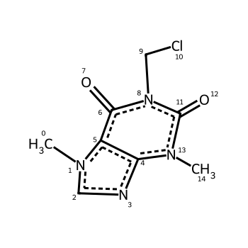 Cn1cnc2c1c(=O)n(CCl)c(=O)n2C